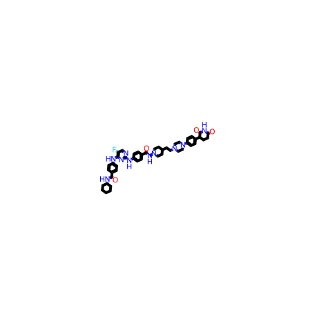 O=C1CCC(c2ccc(N3CCN(CCC4CCN(NC(=O)c5ccc(Nc6ncc(F)c(Nc7ccc(C(=O)NC8CCCCC8)cc7)n6)cc5)CC4)CC3)cc2)C(=O)N1